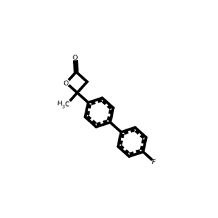 CC1(c2ccc(-c3ccc(F)cc3)cc2)CC(=O)O1